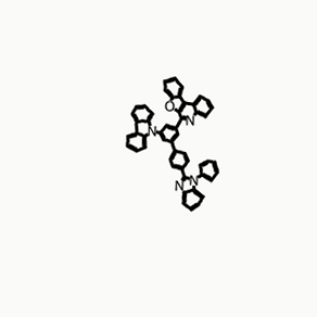 c1ccc(-n2c(-c3ccc(-c4cc(-c5nc6ccccc6c6c5oc5ccccc56)cc(-n5c6ccccc6c6ccccc65)c4)cc3)nc3ccccc32)cc1